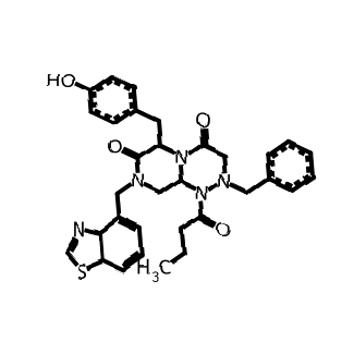 CCCC(=O)N1C2CN(CC3=CC=CC4SC=NC34)C(=O)C(Cc3ccc(O)cc3)N2C(=O)CN1Cc1ccccc1